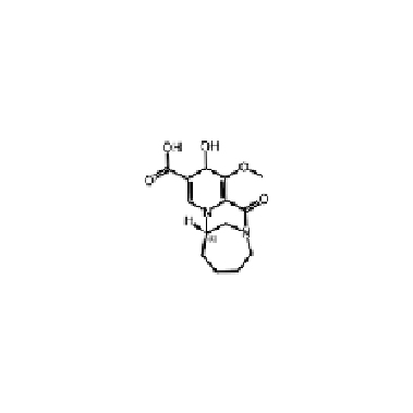 COC1=C2C(=O)N3CCCC[C@@H](C3)N2C=C(C(=O)O)C1O